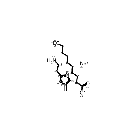 CCCCCCCCCC(=O)[O-].NCCc1c[nH]cn1.[Na+]